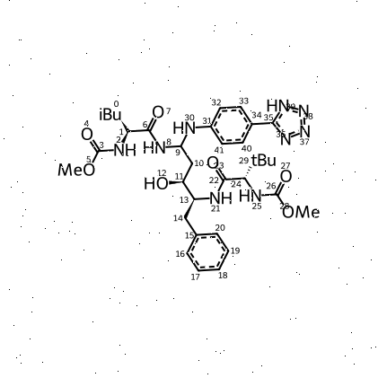 CC[C@H](C)[C@H](NC(=O)OC)C(=O)NC(C[C@H](O)[C@H](Cc1ccccc1)NC(=O)[C@@H](NC(=O)OC)C(C)(C)C)Nc1ccc(-c2nnn[nH]2)cc1